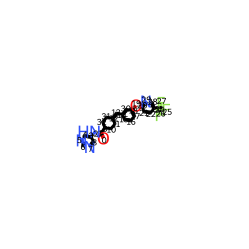 O=C(Nc1cncnc1)C1CCC(=Cc2cccc(Oc3ccc(C(F)(F)F)cn3)c2)CC1